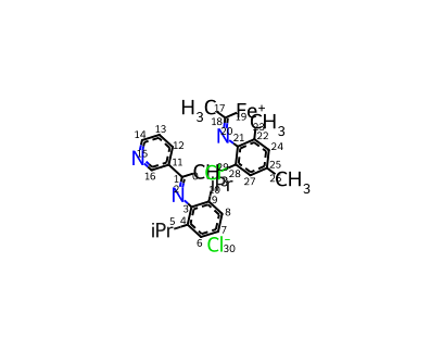 CC(=Nc1c(C(C)C)cccc1C(C)C)c1cccnc1.C[C]([Fe+])=Nc1c(C)cc(C)cc1Cl.[Cl-]